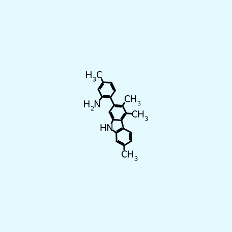 Cc1ccc(-c2cc3[nH]c4cc(C)ccc4c3c(C)c2C)c(N)c1